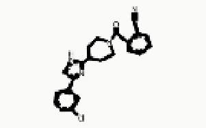 N#Cc1ccccc1C(=O)N1CCC(c2nc(-c3cccc(Cl)c3)c[nH]2)CC1